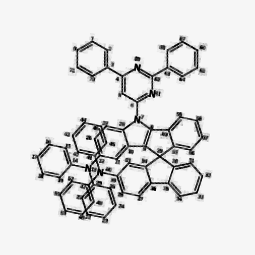 c1ccc(-c2cc(-n3c4c(c5cc(N(c6ccccc6)c6ccccc6)ccc53)C3(c5ccccc5-c5ccc(N(c6ccccc6)c6ccccc6)cc53)c3ccccc3-4)nc(-c3ccccc3)n2)cc1